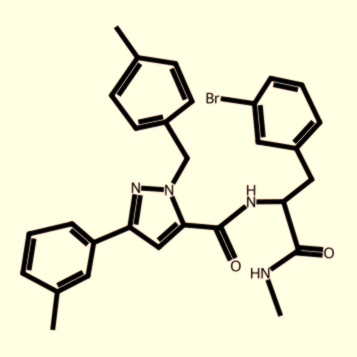 CNC(=O)C(Cc1cccc(Br)c1)NC(=O)c1cc(-c2cccc(C)c2)nn1Cc1ccc(C)cc1